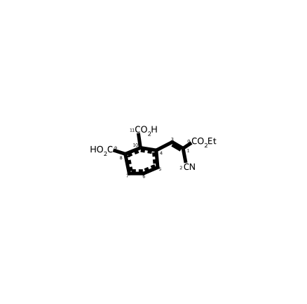 CCOC(=O)C(C#N)=Cc1cccc(C(=O)O)c1C(=O)O